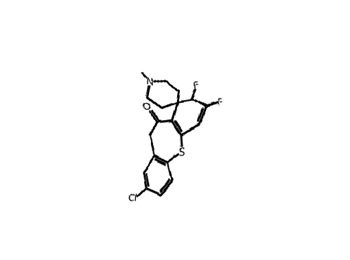 CN1CCC2(CC1)C1=C(C=C(F)C2F)Sc2ccc(Cl)cc2CC1=O